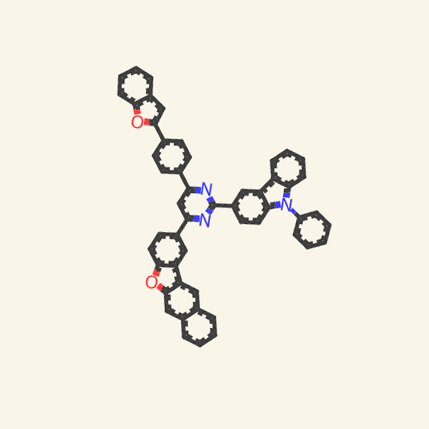 c1ccc(-n2c3ccccc3c3cc(-c4nc(-c5ccc(-c6cc7ccccc7o6)cc5)cc(-c5ccc6oc7cc8ccccc8cc7c6c5)n4)ccc32)cc1